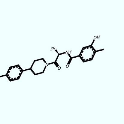 Cc1ccc(C(=O)N[C@@H](C(=O)N2CCC(c3ccc(Cl)cc3)CC2)C(C)C)cc1O